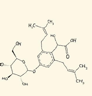 CC(C)=CCc1cc(OC2O[C@H](CO)[C@@H](O)[C@H](O)[C@H]2O)cc(CC=C(C)C)c1C(O)C(=O)O